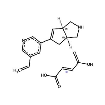 C=Cc1cncc(C2=C[C@H]3CNC[C@H]3C2)c1.O=C(O)/C=C/C(=O)O